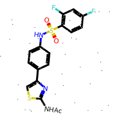 CC(=O)Nc1nc(-c2ccc(NS(=O)(=O)c3ccc(F)cc3F)cc2)cs1